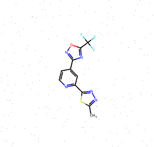 Cc1nnc(-c2cc(-c3noc(C(F)(F)F)n3)ccn2)s1